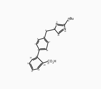 CCCCC1=NC(Cc2ccc(-c3ccccc3C(=O)O)cc2)C=N1